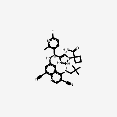 Cc1nc(F)ccc1[C@H](Nc1cc(C#N)c2ncc(C#N)c(NCC(C)(C)C)c2c1)C1=CN(C2(C(N)=O)CCC2)NN1